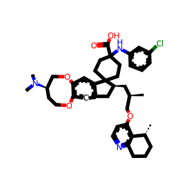 C[C@@H](COc1ccnc2c1[C@H](C)CCC2)C[C@H]1Cc2cc3c(cc2C12CCC(Nc1cccc(Cl)c1)(C(=O)O)CC2)OC[C@H](N(C)C)CCO3